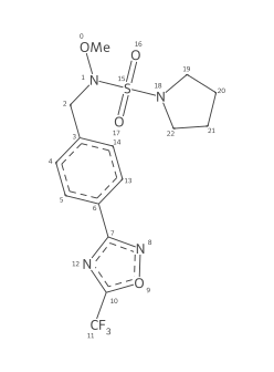 CON(Cc1ccc(-c2noc(C(F)(F)F)n2)cc1)S(=O)(=O)N1CCCC1